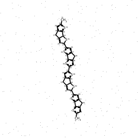 Cc1cc2c(s1)-c1sc(C3C=C4Cc5cc(-c6cc7c(s6)-c6sc(C8C=C9Cc%10cc(C)sc%10C9S8)cc6C7)sc5C4S3)cc1C2